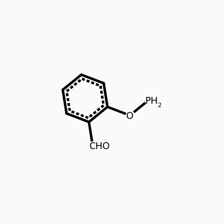 O=Cc1ccccc1OP